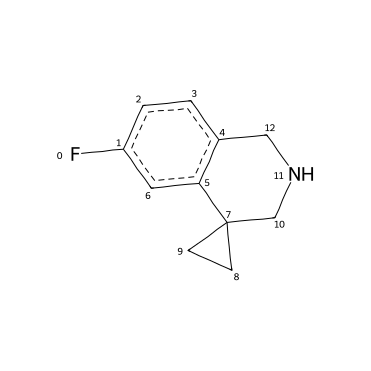 Fc1ccc2c(c1)C1(CC1)CNC2